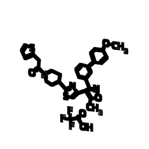 COc1ccc(-c2cccc(-c3noc(C)c3-c3csc(C4CCN(C(=O)Cc5cccs5)CC4)n3)c2)cc1.O=C(O)C(F)(F)F